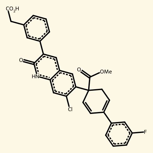 COC(=O)C1(c2cc3cc(-c4cccc(CC(=O)O)c4)c(=O)[nH]c3cc2Cl)C=CC(c2cccc(F)c2)=CC1